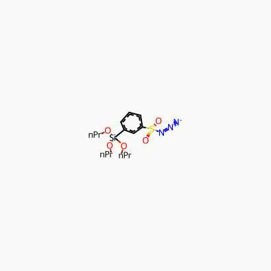 CCCO[Si](OCCC)(OCCC)c1cccc(S(=O)(=O)N=[N+]=[N-])c1